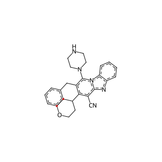 N#Cc1c(C2CCOCC2)c(Cc2ccccc2)c(N2CCNCC2)n2c1nc1ccccc12